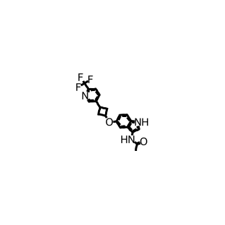 CC(=O)Nc1c[nH]c2ccc(OC3CC(c4ccc(C(F)(F)F)nc4)C3)cc12